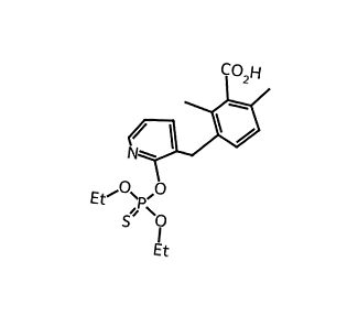 CCOP(=S)(OCC)Oc1ncccc1Cc1ccc(C)c(C(=O)O)c1C